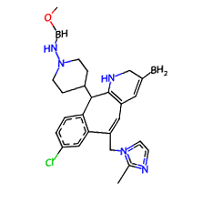 BC1=CC2=C(NC1)C(C1CCN(NBOC)CC1)c1ccc(Cl)cc1C(Cn1ccnc1C)=C2